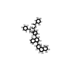 C=C(/C=C(\N=C(/N)c1ccccc1)c1ccc(-c2ccc(-c3ccc4ccc5cccnc5c4n3)c3ccccc23)cc1)c1ccccc1